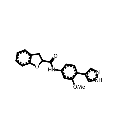 COc1cc(NC(=O)C2Cc3ccccc3O2)ccc1-c1cn[nH]c1